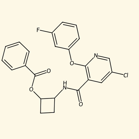 O=C(OC1CCC1NC(=O)c1cc(Cl)cnc1Oc1cccc(F)c1)c1ccccc1